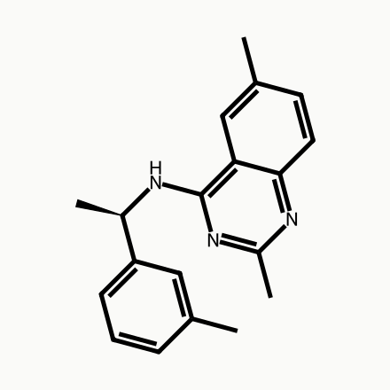 Cc1cccc([C@@H](C)Nc2nc(C)nc3ccc(C)cc23)c1